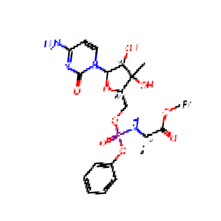 CC(C)OC(=O)[C@H](C)NP(=O)(OC[C@H]1OC(n2ccc(N)nc2=O)[C@@H](O)C1(C)O)Oc1ccccc1